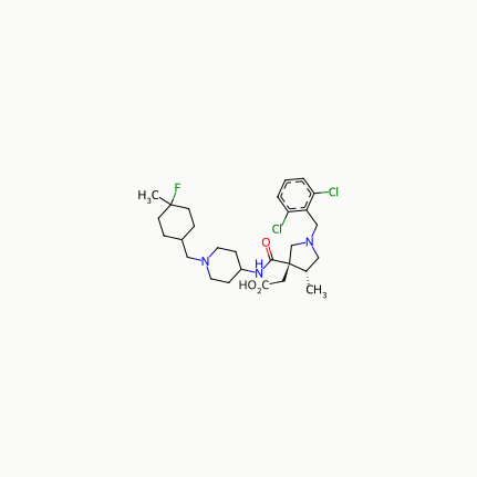 C[C@H]1CN(Cc2c(Cl)cccc2Cl)C[C@@]1(CC(=O)O)C(=O)NC1CCN(CC2CCC(C)(F)CC2)CC1